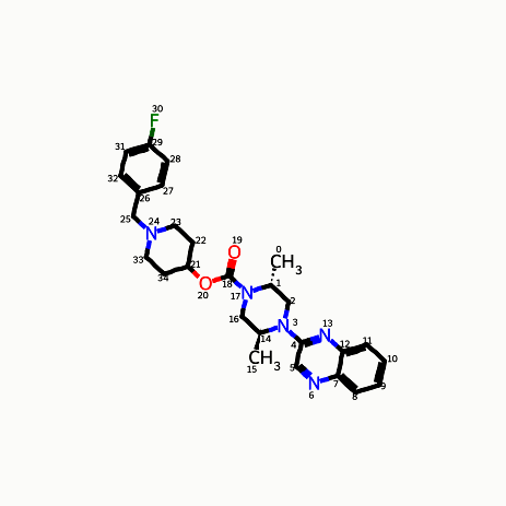 C[C@@H]1CN(c2cnc3ccccc3n2)[C@@H](C)CN1C(=O)OC1CCN(Cc2ccc(F)cc2)CC1